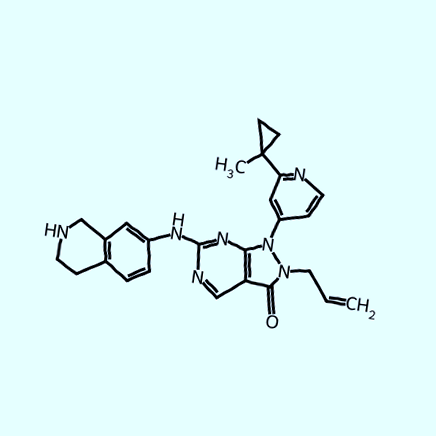 C=CCn1c(=O)c2cnc(Nc3ccc4c(c3)CNCC4)nc2n1-c1ccnc(C2(C)CC2)c1